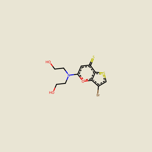 OCCN(CCO)c1cc(=S)c2scc(Br)c2o1